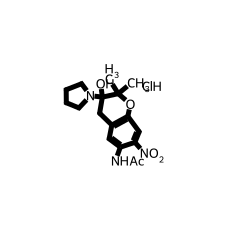 CC(=O)Nc1cc2c(cc1[N+](=O)[O-])OC(C)(C)C(O)(N1CCCC1)C2.Cl